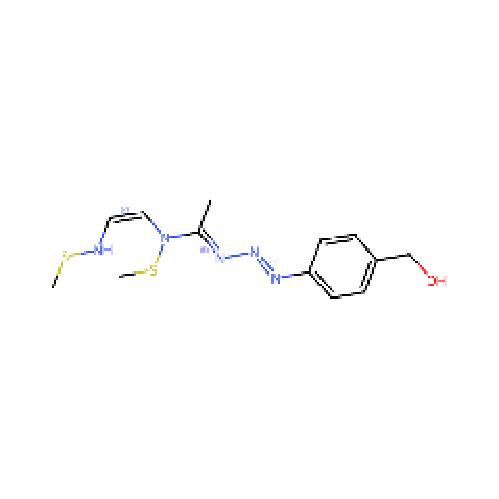 CSN/C=C\N(SC)/C(C)=N/N=N/c1ccc(CO)cc1